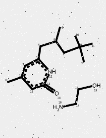 Cc1cc(CC(C)CC(C)(C)C)[nH]c(=O)c1.NCCO